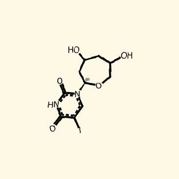 O=c1[nH]c(=O)n([C@H]2CC(O)CC(O)CO2)cc1I